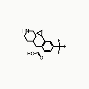 FC(F)(F)c1ccc(CC2CCNCC2)c(C2CC2)c1.O=CO